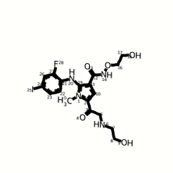 Cn1c(C(=O)CNCCO)cc(C(=O)NOCCO)c1Nc1ccc(I)cc1F